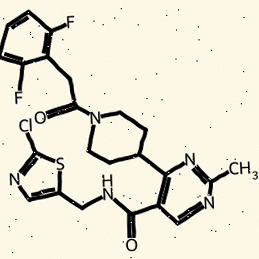 Cc1ncc(C(=O)NCc2cnc(Cl)s2)c(C2CCN(C(=O)Cc3c(F)cccc3F)CC2)n1